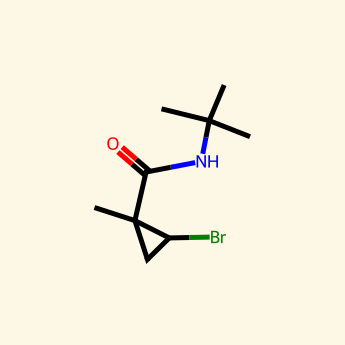 CC(C)(C)NC(=O)C1(C)CC1Br